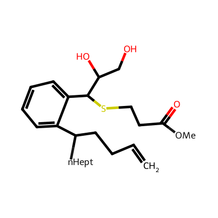 C=CCCC(CCCCCCC)c1ccccc1C(SCCC(=O)OC)C(O)CO